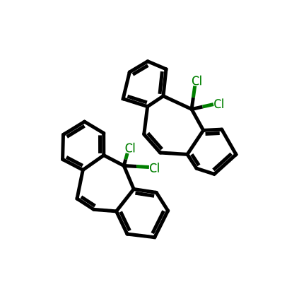 ClC1(Cl)c2ccccc2C=Cc2ccccc21.ClC1(Cl)c2ccccc2C=Cc2ccccc21